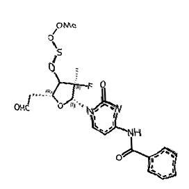 COOSOC1[C@@H](CC=O)O[C@@H](n2ccc(NC(=O)c3ccccc3)nc2=O)[C@]1(C)F